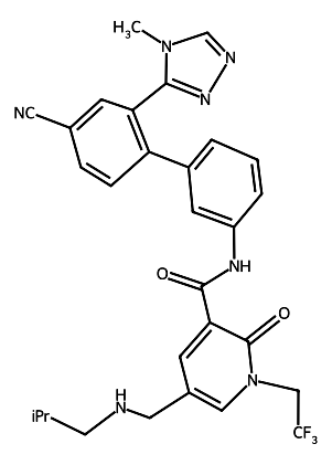 CC(C)CNCc1cc(C(=O)Nc2cccc(-c3ccc(C#N)cc3-c3nncn3C)c2)c(=O)n(CC(F)(F)F)c1